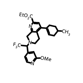 CCOC(=O)c1cc(C2=CCC(C)CC2)c2c(n1)CN(C(c1ccnc(OC)c1)C(F)(F)F)CC2